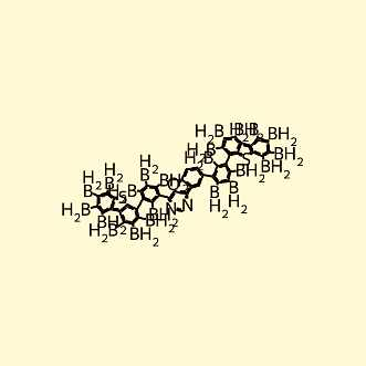 Bc1c(B)c(-c2ccc3oc4c(-c5c(B)c(B)c(B)c(-c6c(B)c(B)c(B)c7c6sc6c(B)c(B)c(B)c(B)c67)c5B)ncnc4c3c2)c(B)c(-c2c(B)c(B)c(B)c3c2sc2c(B)c(B)c(B)c(B)c23)c1B